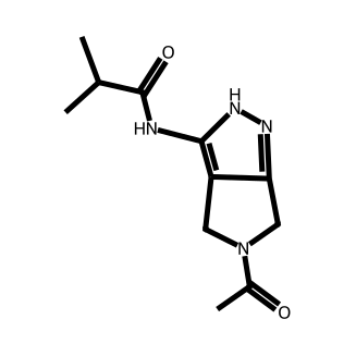 CC(=O)N1Cc2n[nH]c(NC(=O)C(C)C)c2C1